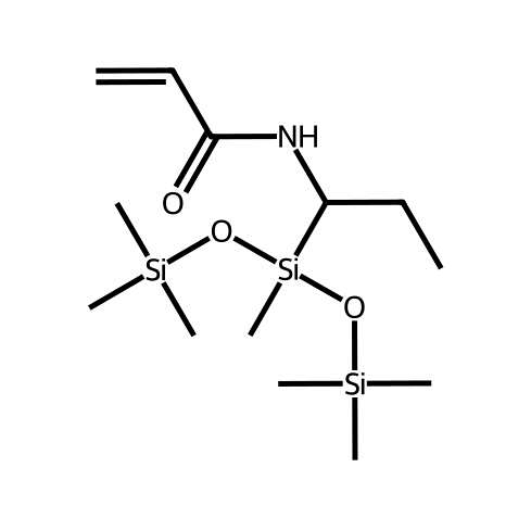 C=CC(=O)NC(CC)[Si](C)(O[Si](C)(C)C)O[Si](C)(C)C